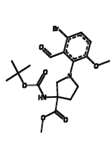 COC(=O)C1(NC(=O)OC(C)(C)C)CCN(c2c(OC)ccc(Br)c2C=O)C1